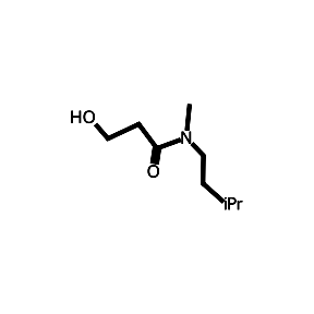 CC(C)CCN(C)C(=O)CCO